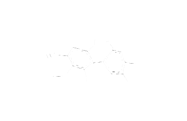 Bc1cc(F)c(-c2cc(C)c(F)cc2F)c(F)c1OC